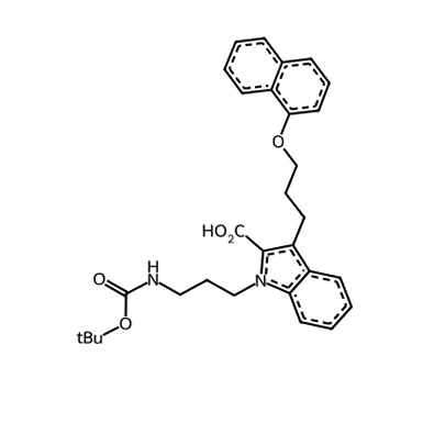 CC(C)(C)OC(=O)NCCCn1c(C(=O)O)c(CCCOc2cccc3ccccc23)c2ccccc21